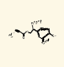 C=CC(=O)OCC(CCCCC)c1ccc(O)c(O)c1